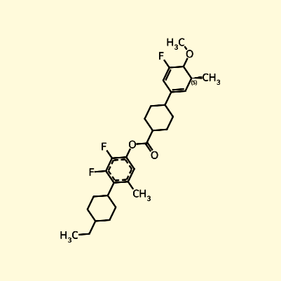 CCC1CCC(c2c(C)cc(OC(=O)C3CCC(C4=C[C@H](C)C(OC)C(F)=C4)CC3)c(F)c2F)CC1